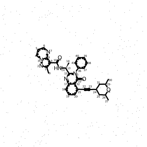 Cc1nn2cccnc2c1C(=O)N[C@@H](C)c1nc2cccc(C#CC3CC(C)OC(C)C3)c2c(=O)n1-c1ccccc1